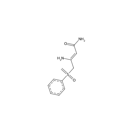 C=S(=O)(C/C(N)=C/C(N)=O)c1ccccc1